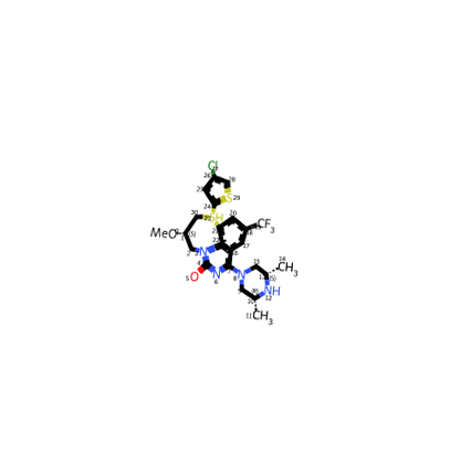 CO[C@H]1Cn2c(=O)nc(N3C[C@@H](C)N[C@@H](C)C3)c3cc(C(F)(F)F)cc(c32)[SH](c2cc(Cl)cs2)C1